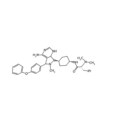 CC(C)C[C@H](C(=O)N[C@H]1CC[C@@H](N2C3NC=NC(N)=C3C(c3ccc(Oc4ccccc4)cc3)N2C)CC1)N(C)C